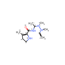 C=CN(C)N(C)C(C)NC(=O)C1=C(C)CCN1